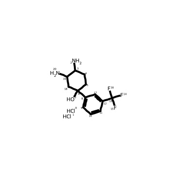 Cl.Cl.NC1CCC(O)(c2cccc(C(F)(F)F)c2)CC1N